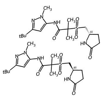 Cn1nc(C(C)(C)C)cc1NC(=O)C(C)(C)S(=O)(=O)C[C@@H]1CCC(=O)N1.Cn1nc(C(C)(C)C)cc1NC(=O)C(C)(C)S(=O)(=O)C[C@H]1CCC(=O)N1